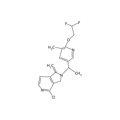 C=C1c2ccnc(Cl)c2CN1C(C)c1cnc(OCC(F)F)c(C)c1